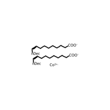 CCCCCCCCCC/C=C\CCCCCCCC(=O)[O-].CCCCCCCCCC/C=C\CCCCCCCC(=O)[O-].[Co+2]